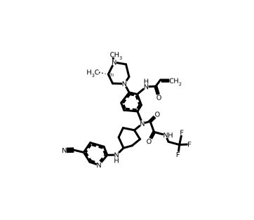 C=CC(=O)Nc1cc(N(C(=O)C(=O)NCC(F)(F)F)C2CCC(Nc3ccc(C#N)cn3)CC2)ccc1N1CCN(C)[C@@H](C)C1